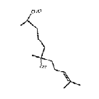 CC(C)=CCCC(C)(O)CCCC(C)C=O